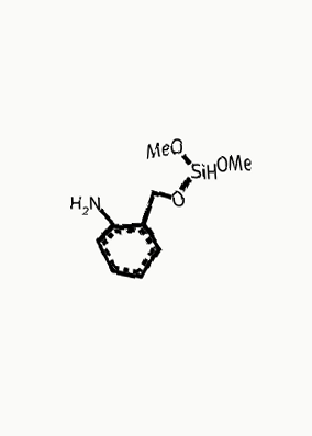 CO[SiH](OC)OCc1ccccc1N